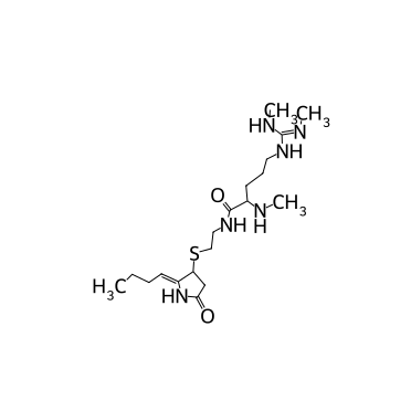 CCC/C=C1\NC(=O)CC1SCCNC(=O)C(CCCN/C(=N/C)NC)NC